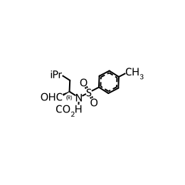 Cc1ccc(S(=O)(=O)N(C(=O)O)[C@@H](C=O)CC(C)C)cc1